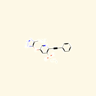 CS(=O)(=O)c1cc(Oc2[nH]nnc2C(=O)O)cnc1C#Cc1ccccc1